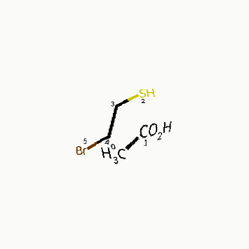 CC(=O)O.SCCBr